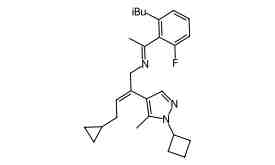 CCC(C)c1cccc(F)c1/C(C)=N/C/C(=C/CC1CC1)c1cnn(C2CCC2)c1C